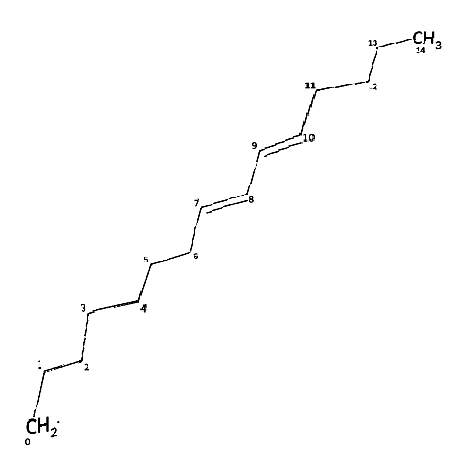 [CH2]CCCCCCC=CC=CCCCC